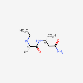 CC(C)[C@H](NCC(=O)O)C(=O)N[C@@H](CC(N)=O)C(=O)O